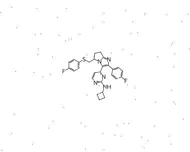 Fc1ccc(SCC2CCc3nc(-c4ccc(F)cc4)c(-c4ccnc(NC5CCC5)n4)n32)cc1